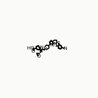 N#Cc1ccc(CN2CCCc3ccc(C4CCN(Cc5nc6ccc(C(=O)O)cc6n5C[C@@H]5CCO5)CC4)nc32)c(F)c1